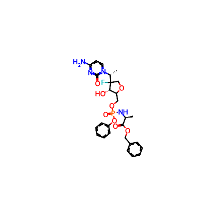 C[C@H](N[P@](=O)(OCC1OCC(F)([C@@H](C)n2ccc(N)nc2=O)[C@H]1O)Oc1ccccc1)C(=O)OCc1ccccc1